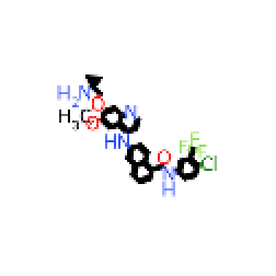 COc1cc2c(Nc3ccc4c(C(=O)Nc5ccc(Cl)c(C(F)(F)F)c5)cccc4c3)ccnc2cc1OCC1(N)CC1